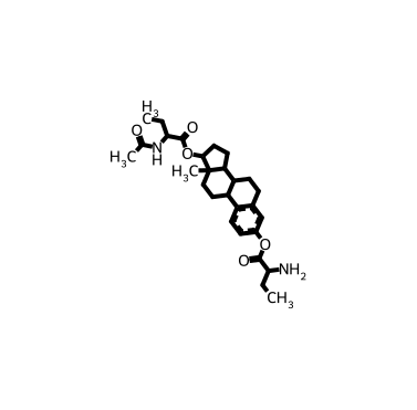 CCC(N)C(=O)Oc1ccc2c(c1)CCC1C2CCC2(C)C(OC(=O)C(CC)NC(C)=O)CCC12